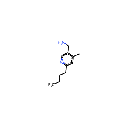 Cc1cc(CCCC(F)(F)F)ncc1CN